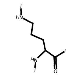 O=C(I)C(CCCNI)NI